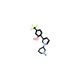 CN1CCCC(N2C=CC=C(c3ccc(C(F)(F)F)cc3O)C2)C1